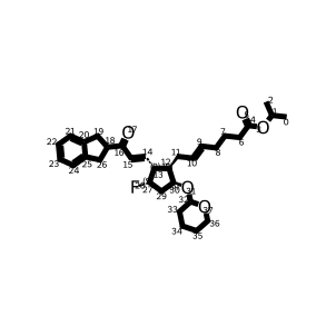 CC(C)OC(=O)CCCC=CC[C@@H]1[C@@H](C=CC(=O)C2Cc3ccccc3C2)[C@@H](F)C[C@@H]1OC1CCCCO1